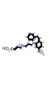 O=C(O)/C=C/CNCCCN1C2=CC([N+](=O)[O-])=CCC2=CCc2ccccc21